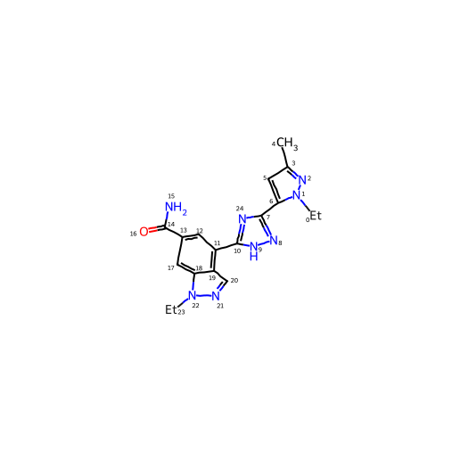 CCn1nc(C)cc1-c1n[nH]c(-c2cc(C(N)=O)cc3c2cnn3CC)n1